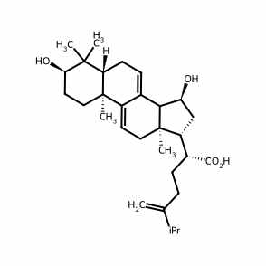 C=C(CC[C@@H](C(=O)O)[C@H]1C[C@H](O)C2C3=CC[C@H]4C(C)(C)[C@H](O)CC[C@]4(C)C3=CC[C@@]21C)C(C)C